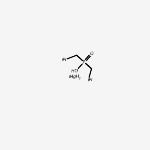 CC(C)CP(=O)(O)CC(C)C.[MgH2]